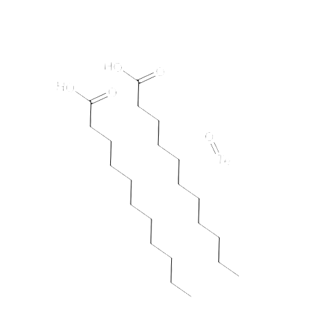 CCCCCCCCCCC(=O)O.CCCCCCCCCCC(=O)O.O=[Te]